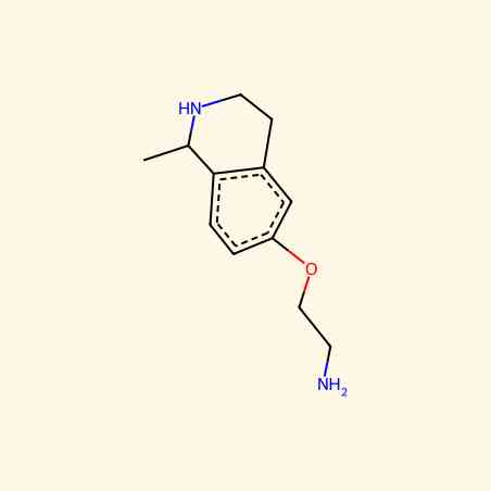 CC1NCCc2cc(OCCN)ccc21